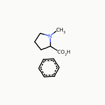 CN1CCCC1C(=O)O.c1ccccc1